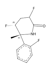 C[C@]1(c2ccccc2F)NC(=O)C(F)C[C@H]1F